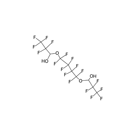 OC(OC(F)(F)C(F)(F)C(F)(F)C(F)(F)OC(O)C(F)(F)C(F)(F)F)C(F)(F)C(F)(F)F